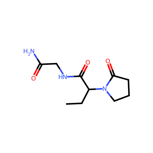 CCC(C(=O)NCC(N)=O)N1CCCC1=O